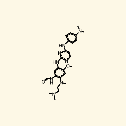 COc1cc(N(C)CCN(C)C)c(NC=O)cc1Nc1nccc(Nc2ccc(N(C)C)cc2)n1